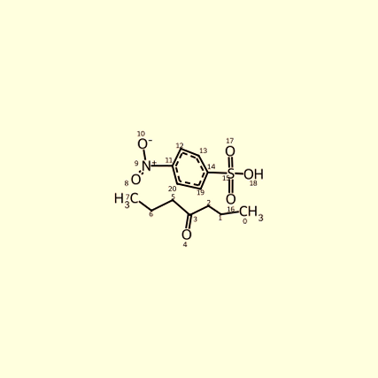 CCCC(=O)CCC.O=[N+]([O-])c1ccc(S(=O)(=O)O)cc1